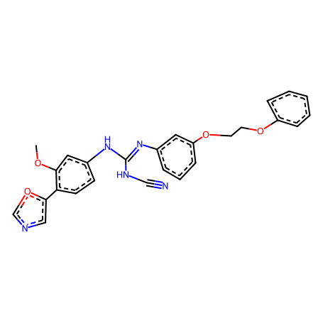 COc1cc(N/C(=N/c2cccc(OCCOc3ccccc3)c2)NC#N)ccc1-c1cnco1